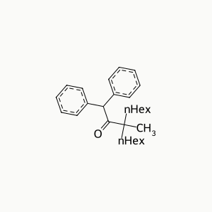 CCCCCCC(C)(CCCCCC)C(=O)C(c1ccccc1)c1ccccc1